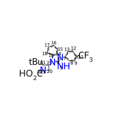 CC(C)(C)C1C(n2c(=N)n(-c3ccc(C(F)(F)F)cc3)c3ccccc32)CN1C(=O)O